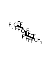 FC(OCC(F)(F)C(F)(F)C(F)(F)F)=C(F)C(F)(F)C(F)(F)C(F)(F)C(F)(F)F